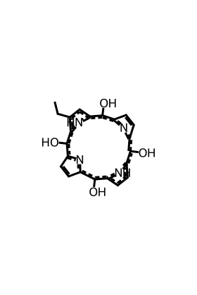 CCc1cc2[nH]c1c(O)c1nc(c(O)c3ccc([nH]3)c(O)c3nc(c2O)C=C3)C=C1